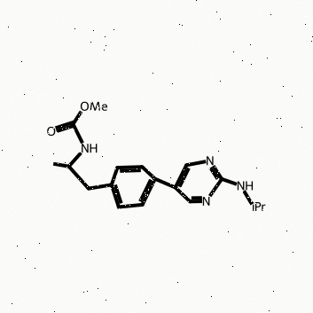 COC(=O)NC(C)Cc1ccc(-c2cnc(NC(C)C)nc2)cc1